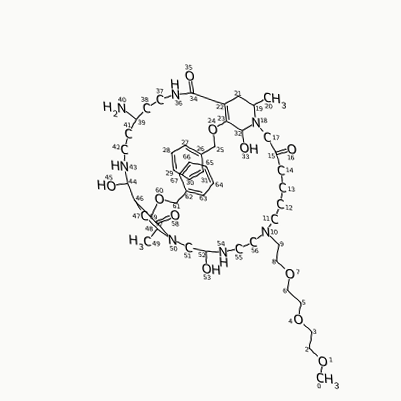 COCCOCCOCCN1CCCCC(=O)CN2C(C)CC(=C(OCc3ccccc3)C2O)C(=O)NCCC(N)CCNC(O)C2CC(C)N(CC(O)NCC1)C(=O)C2OCc1ccccc1